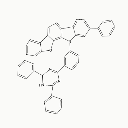 c1ccc(C2=NC(c3cccc(-n4c5cc(-c6ccccc6)ccc5c5ccc6c7ccccc7oc6c54)c3)=NC(c3ccccc3)N2)cc1